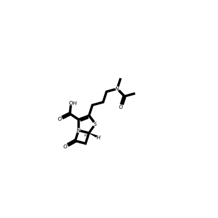 CC(=O)N(C)CCCC1=C(C(=O)O)N2C(=O)C[C@H]2S1